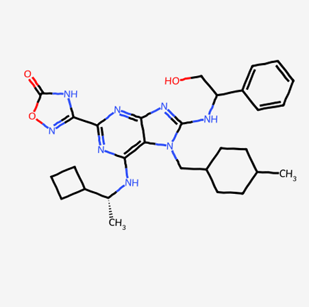 CC1CCC(Cn2c(NC(CO)c3ccccc3)nc3nc(-c4noc(=O)[nH]4)nc(N[C@H](C)C4CCC4)c32)CC1